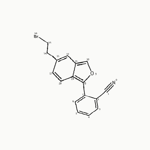 N#Cc1ccccc1-c1occ2cc(CCBr)ccc12